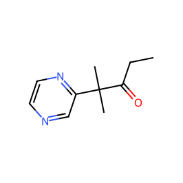 CCC(=O)C(C)(C)c1cnccn1